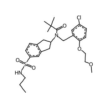 CCCNS(=O)(=O)c1ccc2c(c1)CC(N(Cc1cc(Cl)ccc1OCCOC)C(=O)C(C)(C)C)C2